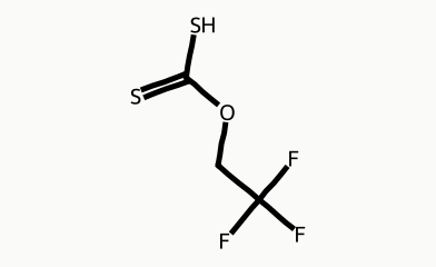 FC(F)(F)COC(=S)S